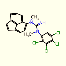 CN(C(=N)N(C)c1ccc2c3c(cccc13)C=C2)c1cc(Cl)c(Cl)c(Cl)c1Cl